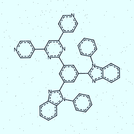 c1ccc(-n2c(-c3cc(-c4nc(-c5ccncc5)cc(-c5ccncc5)n4)cc(-c4nc5ccccc5n4-c4ccccc4)c3)nc3ccccc32)cc1